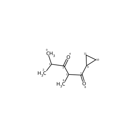 CC(C)C(=O)C(C)C(=O)C1CC1